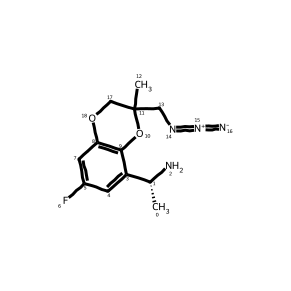 C[C@@H](N)c1cc(F)cc2c1OC(C)(CN=[N+]=[N-])CO2